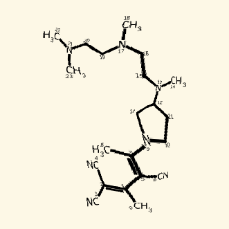 CC(=C(C#N)C#N)/C(C#N)=C(\C)N1CCC(N(C)CCN(C)CCN(C)C)C1